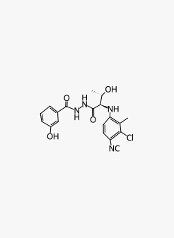 [C-]#[N+]c1ccc(N[C@@H](C(=O)NNC(=O)c2cccc(O)c2)[C@H](C)O)c(C)c1Cl